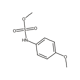 COc1ccc(NS(=O)(=O)OC)cc1